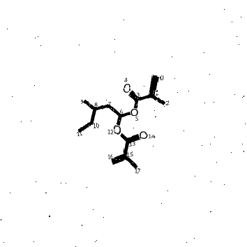 C=C(C)C(=O)OC(CC(C)CC)OC(=O)C(=C)C